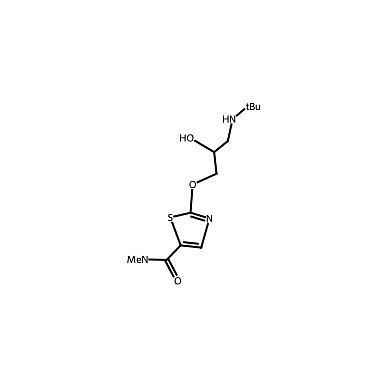 CNC(=O)c1cnc(OCC(O)CNC(C)(C)C)s1